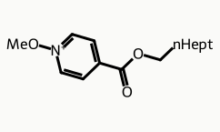 CCCCCCCCOC(=O)c1cc[n+](OC)cc1